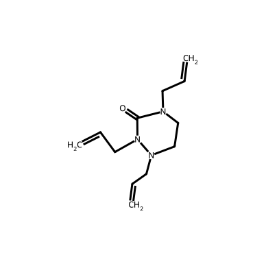 C=CCN1CCN(CC=C)N(CC=C)C1=O